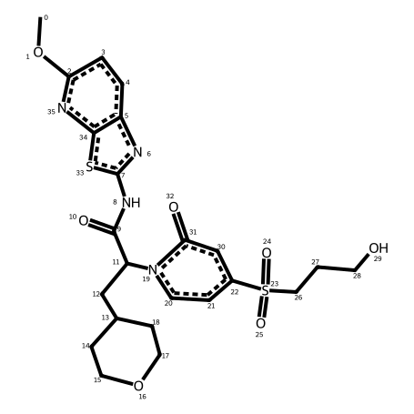 COc1ccc2nc(NC(=O)C(CC3CCOCC3)n3ccc(S(=O)(=O)CCCO)cc3=O)sc2n1